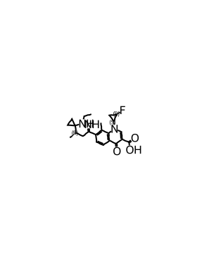 CCNC1([C@H](C)CC(=N)c2ccc3c(=O)c(C(=O)O)cn([C@H]4C[C@H]4F)c3c2C)CC1